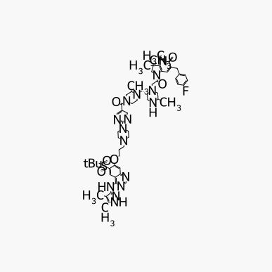 Cc1[nH]nc(Nc2ncnc3cc(OCCCN4CCN(c5ncc(C(=O)N6CCN(C[C@H]7CN[C@H](C)CN7CC(=O)N7CC(C)(C)c8c7cc(Cc7ccc(F)cc7)c(=O)n8C)C(C)C6)cn5)CC4)c(S(=O)(=O)C(C)(C)C)cc23)c1C